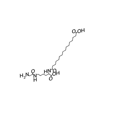 NCC(=O)NCCCCC(NC(=O)CCCCCCCCCCCCCCC(=O)O)C(=O)O